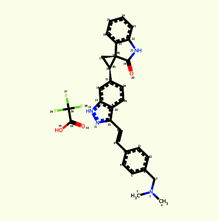 CN(C)Cc1ccc(C=Cc2n[nH]c3cc([C@H]4C[C@@]45C(=O)Nc4ccccc45)ccc23)cc1.O=C(O)C(F)(F)F